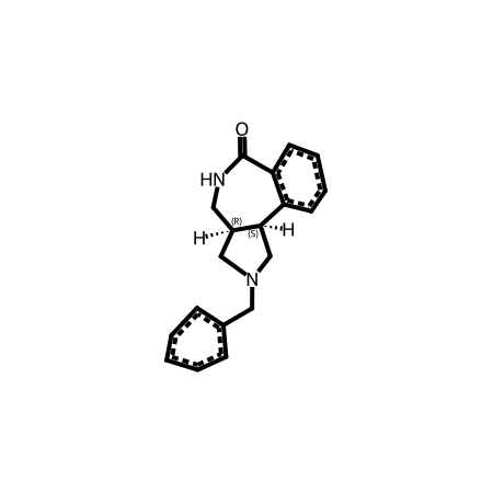 O=C1NC[C@@H]2CN(Cc3ccccc3)C[C@@H]2c2ccccc21